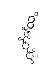 O=C1CCN(C2CCN(C(=O)[C@H](O)CS(=O)(=O)c3ccc4cc(Cl)ccc4c3)CC2)C(=O)N1